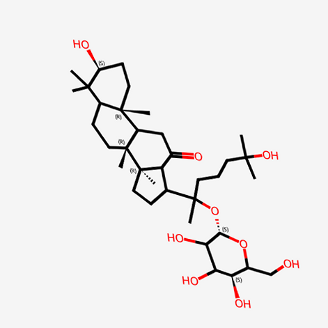 CC(C)(O)CCCC(C)(O[C@@H]1OC(CO)[C@@H](O)C(O)C1O)C1CC[C@]2(C)C1C(=O)CC1[C@@]3(C)CC[C@H](O)C(C)(C)C3CC[C@]12C